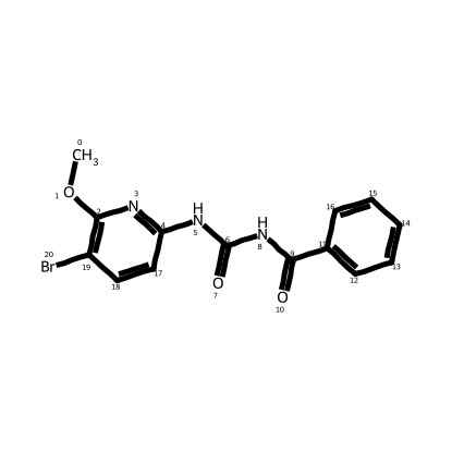 COc1nc(NC(=O)NC(=O)c2ccccc2)ccc1Br